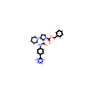 O=C(Nc1ccc(-c2nnn[nH]2)cc1)[C@@H]1[C@H](N2CCCCC2)CCN1C(=O)OCc1ccccc1